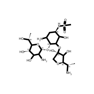 C[C@H](N)[C@H]1OC[C@@](O)(OC2C(O)[C@H](NS(C)(=O)=O)CC(N)[C@H]2O[C@H]2OC([C@@H](C)O)[C@@H](O)C(O)C2N)C1O